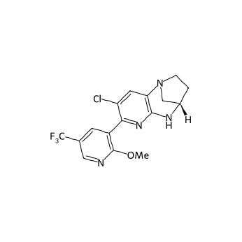 COc1ncc(C(F)(F)F)cc1-c1nc2c(cc1Cl)N1CC[C@@H](C1)N2